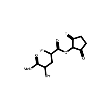 CCCC(CC(CCC)C(=O)OC1C(=O)CCC1=O)C(=O)NC